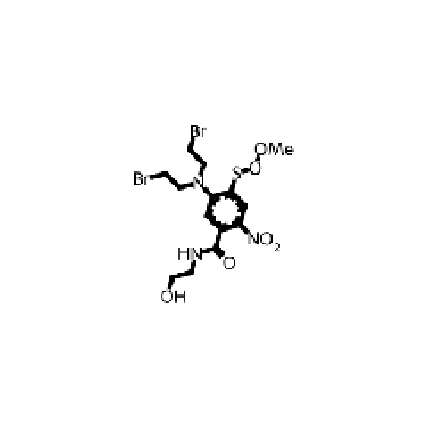 COOSc1cc([N+](=O)[O-])c(C(=O)NCCO)cc1N(CCBr)CCBr